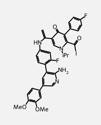 C=C(Nc1ccc(-c2cc(-c3ccc(OC)c(OC)c3)cnc2N)c(F)c1)c1cn(C(C)C)c(C(=O)I)c(-c2ccc(F)cc2)c1=O